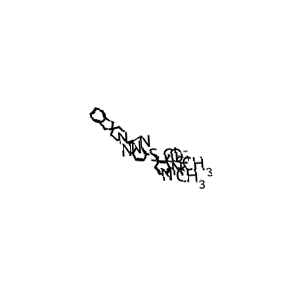 CN(c1nccc(Sc2ccc3nc(N4CCC5(CC4)Cc4ccccc4C5)c4cnc2n34)c1Cl)[S+](C)[O-]